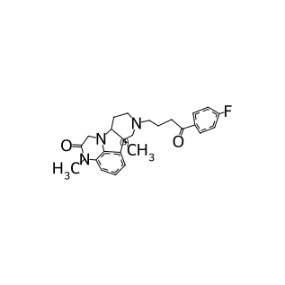 CN1C(=O)CN2c3c1cccc3[C@@]1(C)CN(CCCC(=O)c3ccc(F)cc3)CCC21